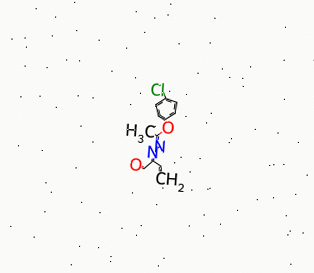 C=C/C(C=O)=N\N=C(/C)Oc1ccc(Cl)cc1